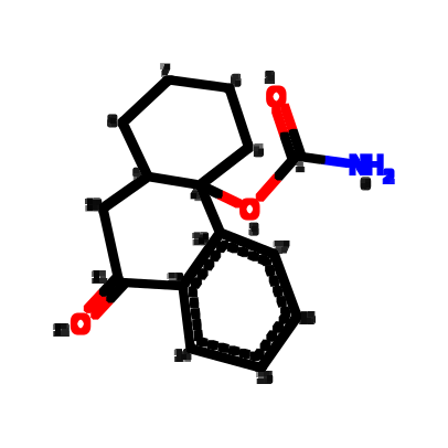 NC(=O)OC12CCCCC1CC(=O)c1ccccc12